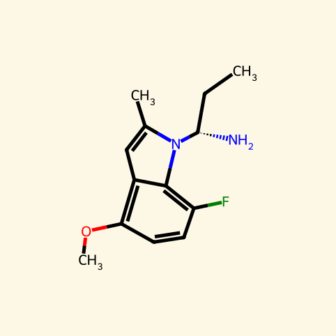 CC[C@H](N)n1c(C)cc2c(OC)ccc(F)c21